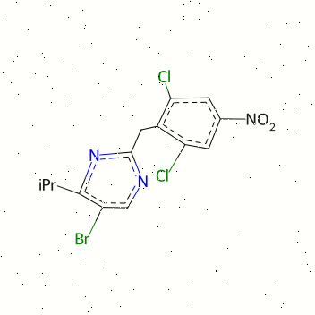 CC(C)c1nc(Cc2c(Cl)cc([N+](=O)[O-])cc2Cl)ncc1Br